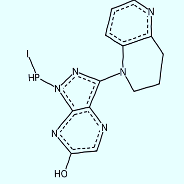 Oc1cnc2c(N3CCCc4ncccc43)nn(PI)c2n1